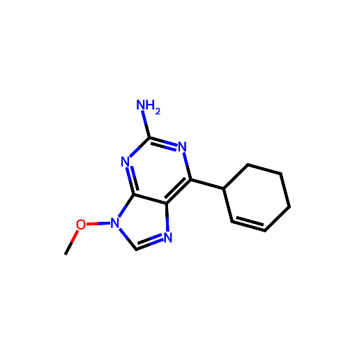 COn1cnc2c(C3C=CCCC3)nc(N)nc21